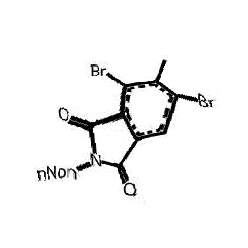 CCCCCCCCCN1C(=O)c2cc(Br)c(C)c(Br)c2C1=O